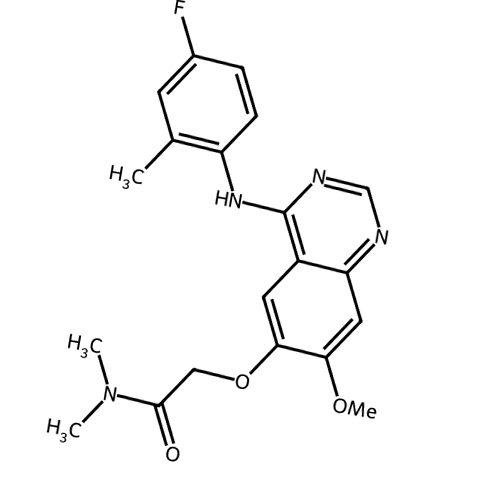 COc1cc2ncnc(Nc3ccc(F)cc3C)c2cc1OCC(=O)N(C)C